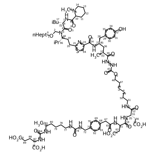 CCCCCCCOCN(C(=O)[C@@H](NC(=O)C1CCCCN1C)C(C)CC)[C@H](CCc1nc(C(=O)N[C@@H](Cc2ccc(O)cc2)C[C@H](C)C(=O)NNC(=O)OCCSSCCNC(=O)[C@H](CC(=O)O)NC(=O)C(CC(=O)O)NC(=O)Cc2ccc(CNC(=O)NCCCC[C@@H](C)NC(=O)N[C@@H](CCC(=O)O)C(=O)O)cc2)cs1)C(C)C